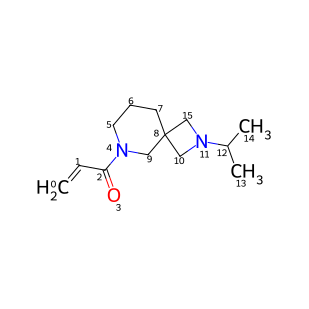 C=CC(=O)N1CCCC2(C1)CN(C(C)C)C2